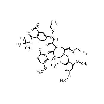 CCC[C@@H](NC(=O)N1CC(=NOCC)N(Cc2c(OC)cc(OC)cc2OC)C[C@@H](Cc2cc(Cl)ccc2OC)C1=O)c1ccc(C(=O)OC(C)(C)C)c([N+](=O)[O-])c1